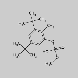 COP(=O)(O)Oc1cc(C(C)(C)C)cc(C(C)(C)C)c1C